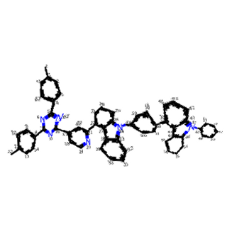 Cc1ccc(-c2nc(-c3ccc(C)cc3)nc(-c3ccnc(-c4cccc5c4c4ccccc4n5-c4ccc(-c5cccc6c5c5c(n6-c6ccccc6)CCC=C5)cc4)c3)n2)cc1